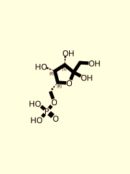 O=P(O)(O)OC[C@H]1OC(O)(CO)[C@@H](O)[C@H]1O